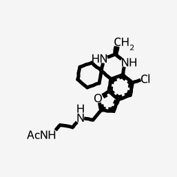 C=C1Nc2c(Cl)cc3cc(CNCCNC(C)=O)oc3c2C2(CCCCC2)N1